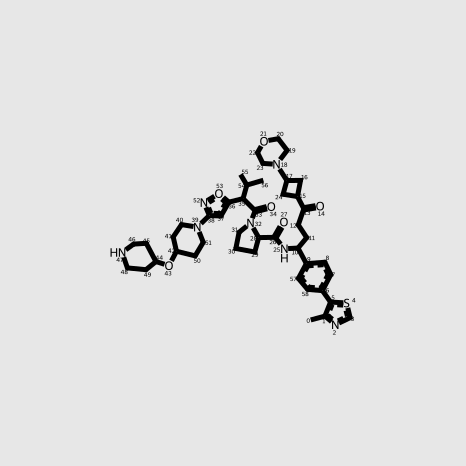 Cc1ncsc1-c1ccc(C(CCC(=O)C2CC(N3CCOCC3)C2)NC(=O)C2CCCN2C(=O)C(c2cc(N3CCC(OC4CCNCC4)CC3)no2)C(C)C)cc1